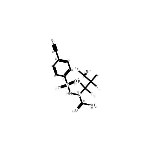 CC(F)(C(F)(F)F)C(F)(F)N(NS(=O)(=O)c1ccc(C#N)cc1)C(N)=O